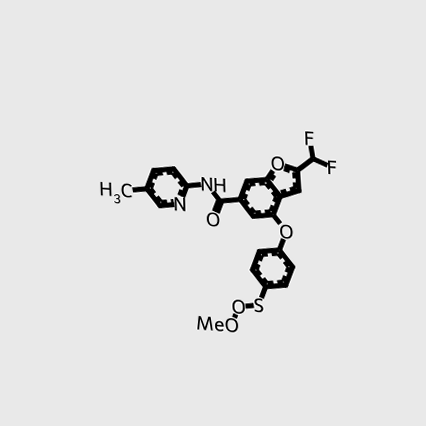 COOSc1ccc(Oc2cc(C(=O)Nc3ccc(C)cn3)cc3oc(C(F)F)cc23)cc1